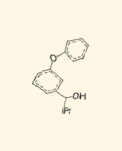 CC(C)C(O)c1cccc(Oc2ccccc2)c1